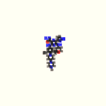 CC(C)c1cc(Nc2nc(NC3CCOC4(CC4)C3)c(-c3cc[nH]n3)nc2C(N)=O)ccc1N1CCC(N2CCN(C)CC2)CC1